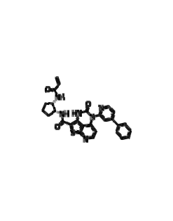 C=CC(=O)N[C@H]1CCC[C@H]1NC(=O)c1sc2nccc3c2c1NC(=O)N3c1cc(-c2ccccc2)ccn1